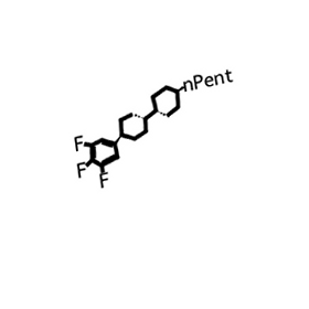 CCCCC[C@H]1CC[C@H]([C@H]2CC[C@H](c3cc(F)c(F)c(F)c3)CC2)CC1